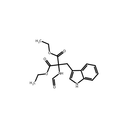 CCOC(=O)C(Cc1c[nH]c2ccccc12)(NC=O)C(=O)OCC